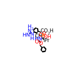 Cc1c(NC(=N)N)cccc1C(OP(=O)(O)C(NC(=O)OCc1ccccc1)C(C)C)C(=O)O